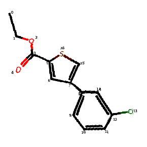 CCOC(=O)c1cc(-c2cccc(Cl)c2)cs1